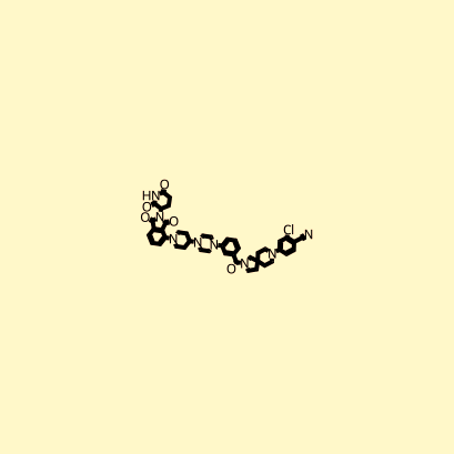 N#Cc1ccc(N2CCC3(CCN(C(=O)c4cccc(N5CCN(C6CCN(c7cccc8c7C(=O)N(C7CCC(=O)NC7=O)C8=O)CC6)CC5)c4)C3)CC2)cc1Cl